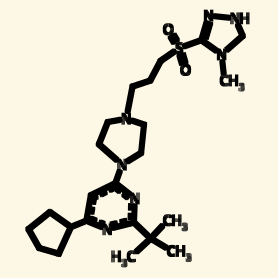 CN1CNN=C1S(=O)(=O)CCCN1CCN(c2cc(C3CCCC3)nc(C(C)(C)C)n2)CC1